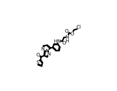 O=C(CNC(=O)OCCCl)Nc1cccc(-c2ccnc3c(C(=O)c4cccs4)cnn23)c1